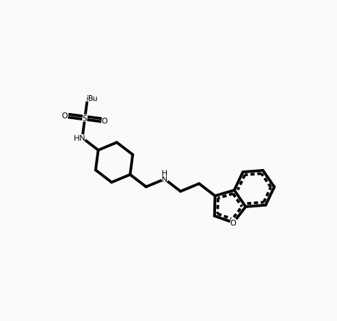 CCC(C)S(=O)(=O)NC1CCC(CNCCc2coc3ccccc23)CC1